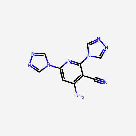 N#Cc1c(N)cc(-n2cnnc2)nc1-n1cnnc1